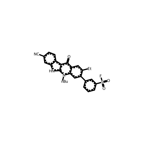 CCCCn1c2cc(-c3cccc(S(=O)(=O)F)c3)c(CC)cc2c(=O)c2c3ccc(C#N)cc3[nH]c21